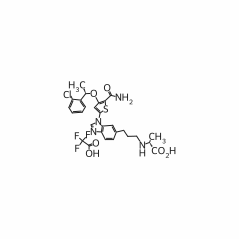 C[C@H](NCCCc1ccc2ncn(-c3cc(O[C@H](C)c4ccccc4Cl)c(C(N)=O)s3)c2c1)C(=O)O.O=C(O)C(F)(F)F